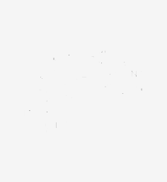 CC(C)(C)c1ccc2ccc(CC(C)(C)c3cccnc3)cc2c1